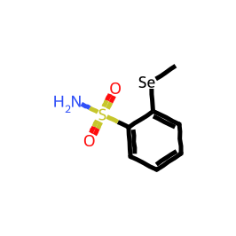 C[Se]c1ccccc1S(N)(=O)=O